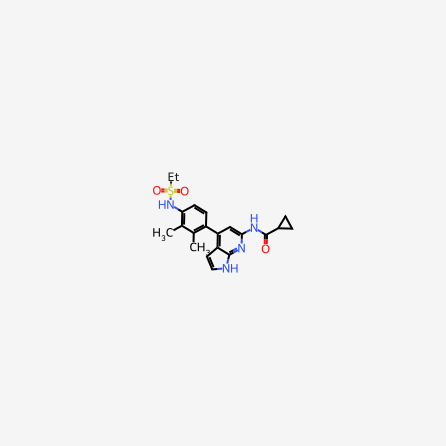 CCS(=O)(=O)Nc1ccc(-c2cc(NC(=O)C3CC3)nc3[nH]ccc23)c(C)c1C